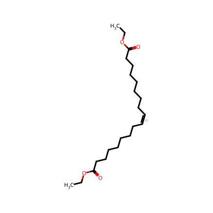 CCOC(=O)CCCCCCC/C=C\CCCCCCCC(=O)OCC